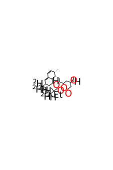 [2H]O[C@H]1CC(=O)OC(CC[C@@H]2[C@@H]3C(=C[C@H](C([2H])([2H])[2H])C[C@@H]3OC(=O)C(C)(CC)C([2H])([2H])[2H])C=C[C@@H]2C)C1